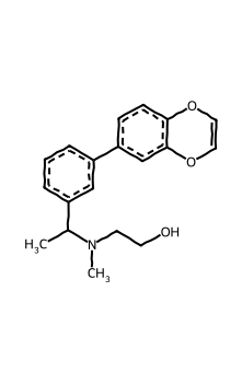 CC(c1cccc(-c2ccc3c(c2)OC=CO3)c1)N(C)CCO